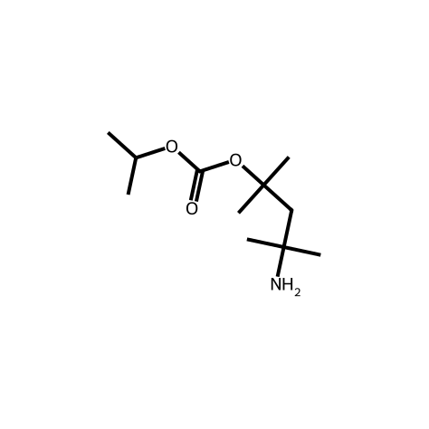 CC(C)OC(=O)OC(C)(C)CC(C)(C)N